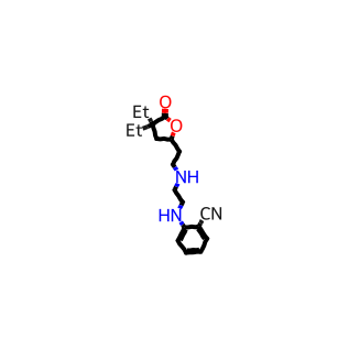 CCC1(CC)CC(CCNCCNc2ccccc2C#N)OC1=O